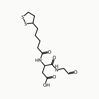 O=CCNC(=O)C(CC(=O)O)NC(=O)CCCCC1CCSS1